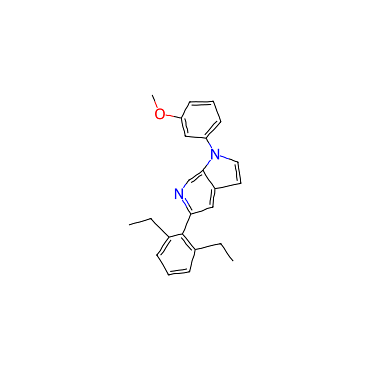 CCc1cccc(CC)c1-c1cc2ccn(-c3cccc(OC)c3)c2cn1